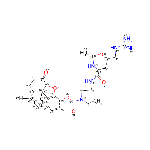 CCN(CCNC(=O)[C@H](CCCNC(=N)N)NC(C)=O)C(=O)Oc1ccc2c3c1OC1C(=O)CCC4[C@H](CCC[C@]314)C2